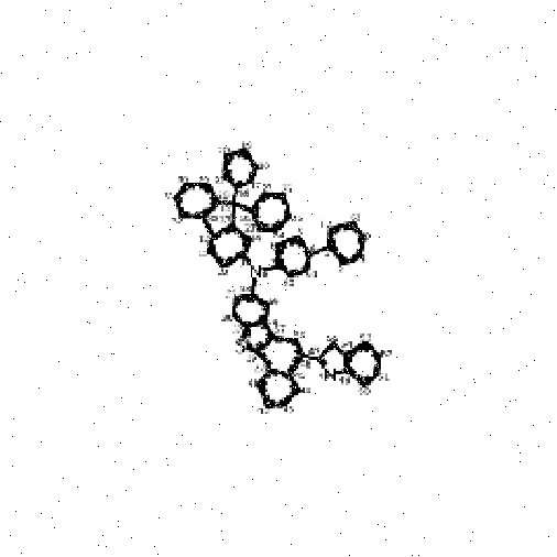 c1ccc(-c2ccc(N(c3ccc4c(c3)C(c3ccccc3)(c3ccccc3)c3ccccc3-4)c3ccc4sc5c6ccccc6c(C6=Nc7ccccc7C6)cc5c4c3)cc2)cc1